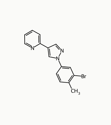 Cc1ccc(-n2cc(-c3ccccn3)cn2)cc1Br